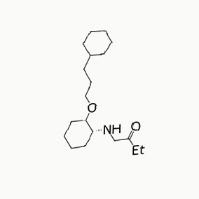 CCC(=O)CN[C@@H]1CCCCC1OCCCC1CCCCC1